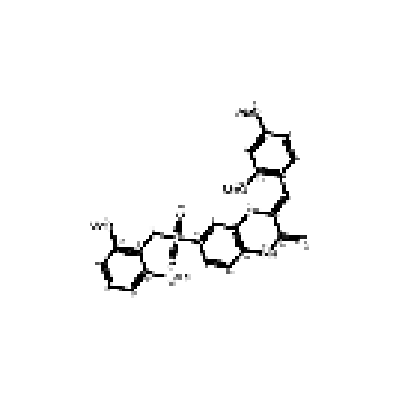 COc1ccc(/C=C2\Sc3cc(S(=O)(=O)Cc4c(OC)cccc4OC)ccc3NC2=O)c(OC)c1